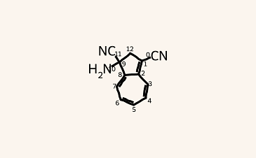 N#CC1=C2C=CC=CC=C2C(N)(C#N)C1